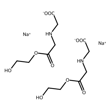 O=C([O-])CNCC(=O)OCCO.O=C([O-])CNCC(=O)OCCO.[Na+].[Na+]